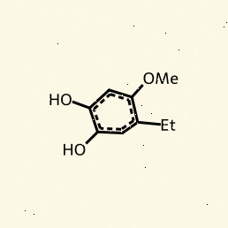 CCc1cc(O)c(O)cc1OC